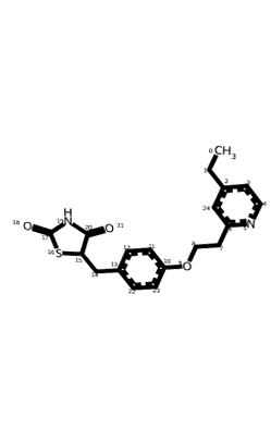 CCc1ccnc(CCOc2ccc(CC3SC(=O)NC3=O)cc2)c1